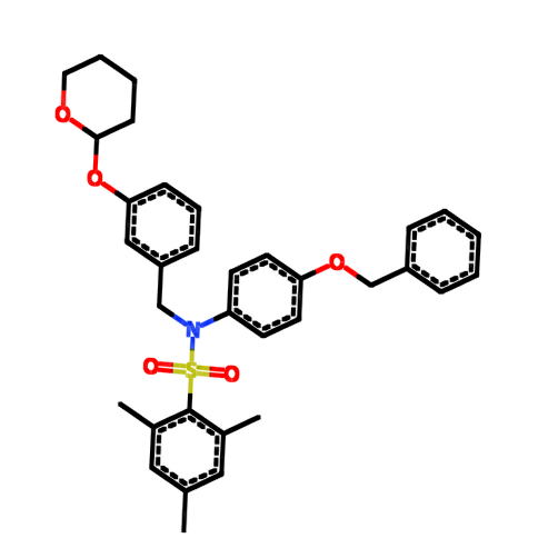 Cc1cc(C)c(S(=O)(=O)N(Cc2cccc(OC3CCCCO3)c2)c2ccc(OCc3ccccc3)cc2)c(C)c1